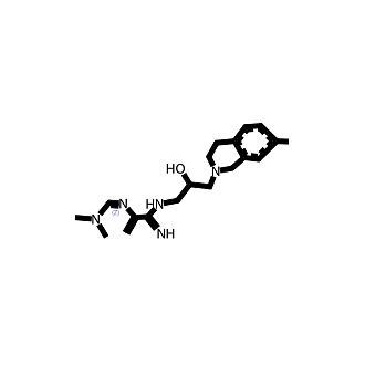 C=C(/N=C\N(C)C)C(=N)NCC(O)CN1CCc2ccc(C)cc2C1